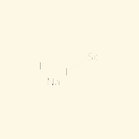 [I-].[Na+].[Sc][I]